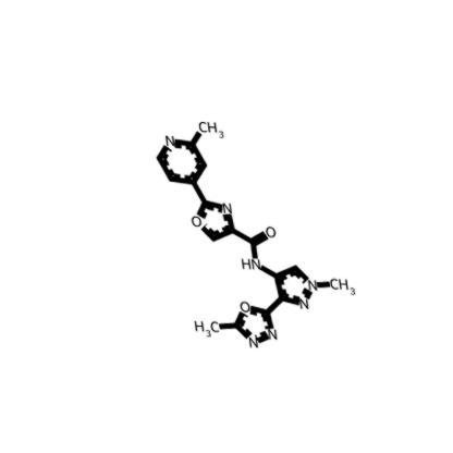 Cc1cc(-c2nc(C(=O)Nc3cn(C)nc3-c3nnc(C)o3)co2)ccn1